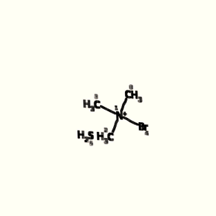 C[N+](C)(C)Br.S